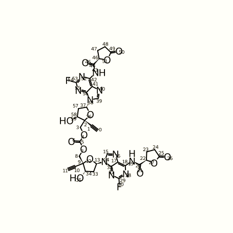 C#C[C@]1(COC(=O)OC[C@@]2(C#C)O[C@@H](n3cnc4c(NC(=O)[C@H]5CCC(=O)O5)nc(F)nc43)C[C@@H]2O)O[C@@H](n2cnc3c(NC(=O)[C@H]4CCC(=O)O4)nc(F)nc32)C[C@@H]1O